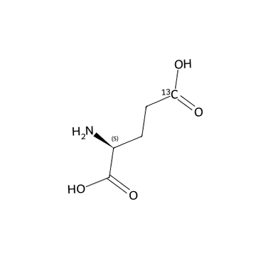 N[C@@H](CC[13C](=O)O)C(=O)O